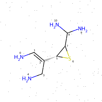 N/C=C(\CN)[C@H]1SC1C(N)N